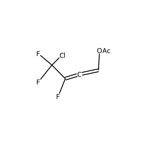 CC(=O)OC=C=C(F)C(F)(F)Cl